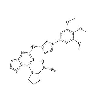 COc1cc(-n2cnc(Nc3nc(N4CCCC4C(N)=O)c4sccc4n3)c2)cc(OC)c1OC